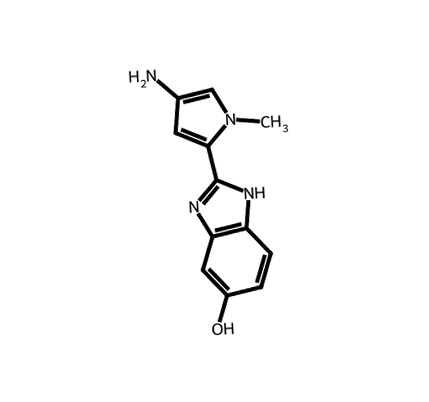 Cn1cc(N)cc1-c1nc2cc(O)ccc2[nH]1